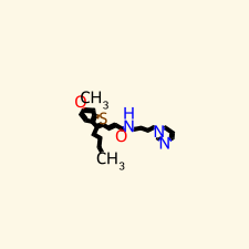 CCCCCc1c(/C=C/C(=O)NCCCCN2C=NC=CC2)sc2cc(OC)ccc12